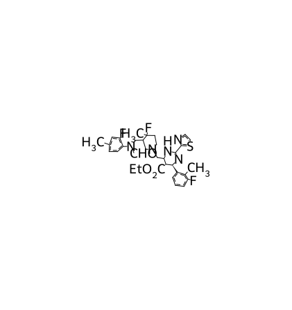 CCOC(=O)C1C(CN2CCC(C)(F)C(CN(C=O)c3ccc(C)cc3F)C2)NC(c2nccs2)=N[C@H]1c1cccc(F)c1C